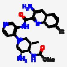 CCC1=CC2N=C(C(=O)Nc3cnccc3N3C[C@@H](N)[C@@H](NC(=O)OC)[C@@H](C)C3)C(N)=CC2C=C1